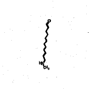 CNCCCCCCCCCCCC=O